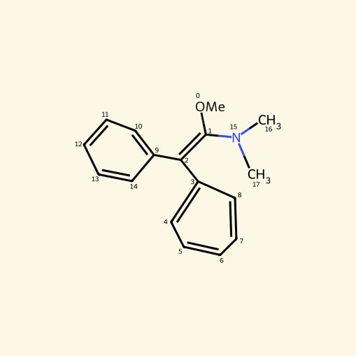 COC(=C(c1ccccc1)c1ccccc1)N(C)C